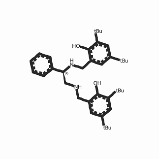 CC(C)(C)c1cc(CNC[C@H](NCc2cc(C(C)(C)C)cc(C(C)(C)C)c2O)c2ccccc2)c(O)c(C(C)(C)C)c1